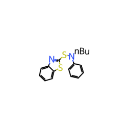 CCCCN(Sc1nc2ccccc2s1)c1ccccc1